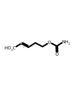 NC(=O)OCC/C=I/C(=O)O